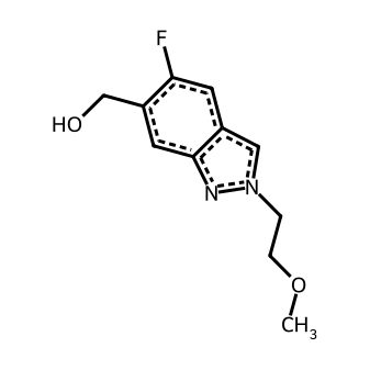 COCCn1cc2cc(F)c(CO)cc2n1